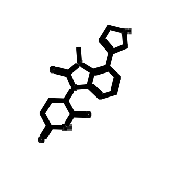 Cn1c(=O)n(C2CCC(=O)NC2=O)c2cccc(C3=CCNC3)c21